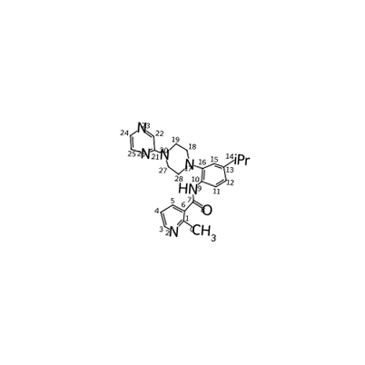 Cc1ncccc1C(=O)Nc1ccc(C(C)C)cc1N1CCN(c2cnccn2)CC1